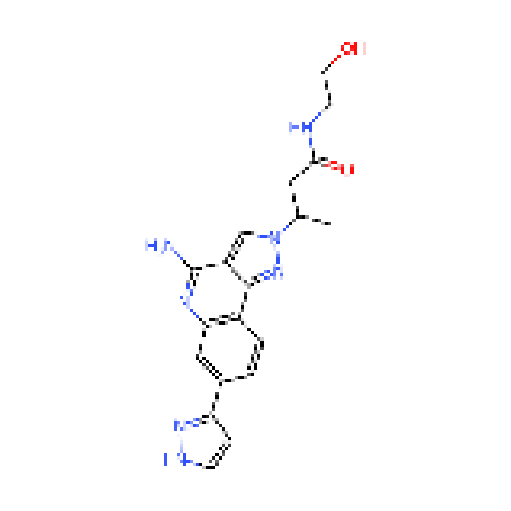 CC(CC(=O)NCCO)n1cc2c(N)nc3cc(-c4cc[nH]n4)ccc3c2n1